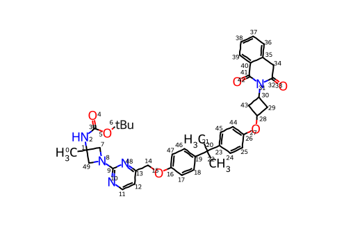 CC1(NC(=O)OC(C)(C)C)CN(c2nccc(COc3ccc(C(C)(C)c4ccc(OC5CC(N6C(=O)Cc7ccccc7C6=O)C5)cc4)cc3)n2)C1